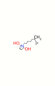 C=C(CCCCCN1C(O)C=CC1O)C1CC1